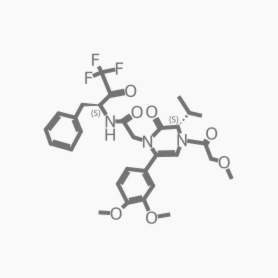 COCC(=O)N1C=C(c2ccc(OC)c(OC)c2)N(CC(=O)N[C@@H](Cc2ccccc2)C(=O)C(F)(F)F)C(=O)[C@@H]1C(C)C